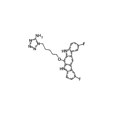 Nc1nnnn1CCCCCOc1c2[nH]c3ccc(F)cc3c2cc2c1[nH]c1ccc(F)cc12